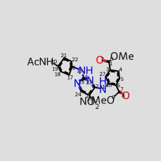 COC(=O)c1ccc(C(=O)OC)c(Nc2nc(Nc3ccc(NC(C)=O)cc3)ncc2[N+](=O)[O-])c1